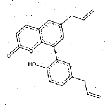 C=CCc1ccc(O)c(-c2cc(CC=C)cc3ccc(=O)oc23)c1